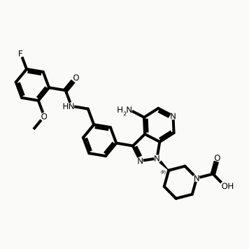 COc1ccc(F)cc1C(=O)NCc1cccc(-c2nn([C@@H]3CCCN(C(=O)O)C3)c3cncc(N)c23)c1